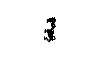 NC(=O)c1ccc2[nH]c(CCC3CC4CC3CC4c3ccnc4ccc(F)cc34)nc2c1